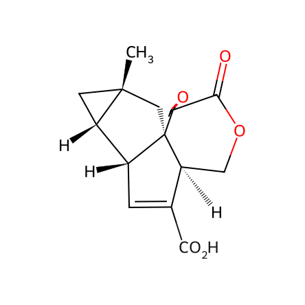 C[C@]12C[C@H]1[C@H]1C=C(C(=O)O)[C@@H]3COC(=O)[C@]4(CO4)[C@]13C2